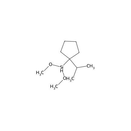 CO[SiH](OC)C1(C(C)C)CCCC1